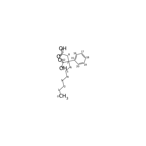 CCCCCCCC(CC(=O)O)(C(=O)O)c1ccccc1